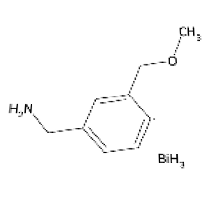 COCc1[c]ccc(CN)c1.[BiH3]